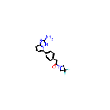 Nc1nc2cccc(-c3ccc(CC(=O)N4CC(F)(F)C4)cc3)n2n1